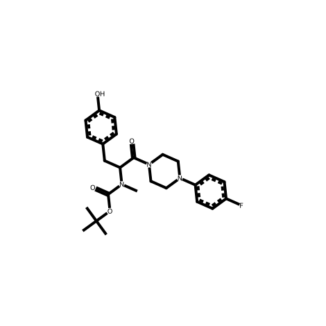 CN(C(=O)OC(C)(C)C)C(Cc1ccc(O)cc1)C(=O)N1CCN(c2ccc(F)cc2)CC1